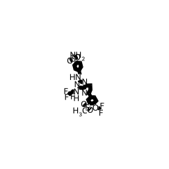 CS(=O)(=O)c1cc(-c2ccc3nc(NCc4ccc(S(N)(=O)=O)cc4)nc(NCC(F)(F)F)c3n2)ccc1OC(F)F